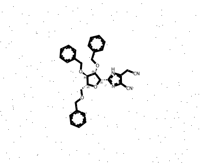 N#CCc1[nH]c([C@@H]2O[C@H](COCc3ccccc3)[C@@H](OCc3ccccc3)[C@@H]2OCc2ccccc2)nc1C#N